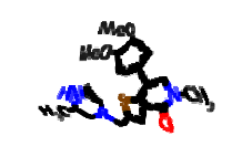 COc1ccc(-c2cn(C)c(=O)c3cc(CN4CCNC(C)C4)sc23)cc1OC